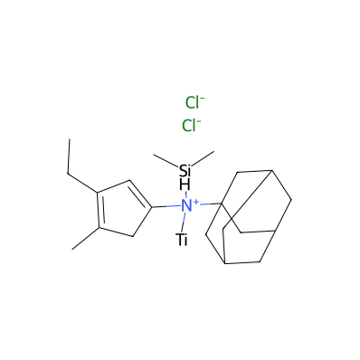 CCC1=C(C)CC([N+]([Ti])([SiH](C)C)C23CC4CC(CC(C4)C2)C3)=C1.[Cl-].[Cl-]